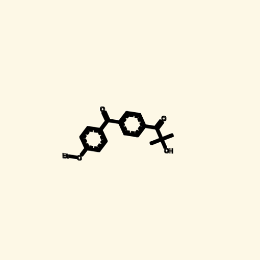 CCOc1ccc(C(=O)c2ccc(C(=O)C(C)(C)O)cc2)cc1